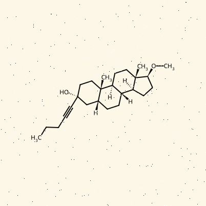 CCCC#C[C@@]1(O)CC[C@@]2(C)[C@H](CC[C@@H]3[C@@H]2CC[C@]2(C)[C@@H](OC)CC[C@@H]32)C1